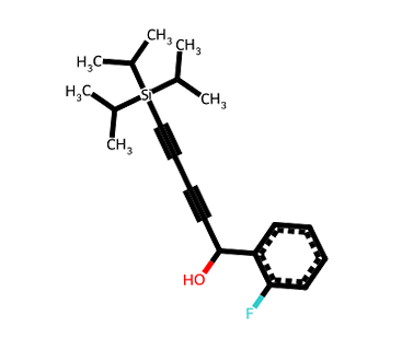 CC(C)[Si](C#CC#CC(O)c1ccccc1F)(C(C)C)C(C)C